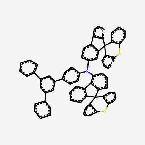 c1ccc(-c2cc(-c3ccccc3)cc(-c3ccc(N(c4ccc5c(c4)C4(c6ccccc6Sc6ccccc64)c4ccccc4-5)c4cccc5c4-c4ccccc4C54c5ccccc5Sc5ccccc54)cc3)c2)cc1